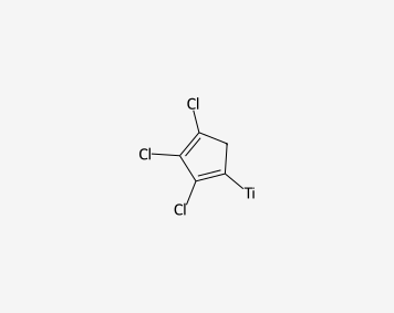 ClC1=C(Cl)C(Cl)=[C]([Ti])C1